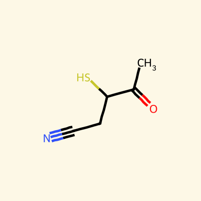 CC(=O)C(S)CC#N